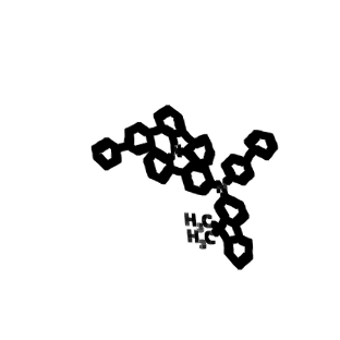 CC1(C)c2ccccc2-c2ccc(N(c3ccc(-c4ccccc4)cc3)c3ccc(-c4ccccc4-n4c5ccccc5c5cccc(-c6ccc(-c7ccccc7)cc6)c54)cc3)cc21